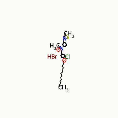 Br.CCCCCCCCCCCCCCOc1ccc(CCN(C(C)=O)c2cccc(CN3C=C(C)SC3)c2)cc1Cl